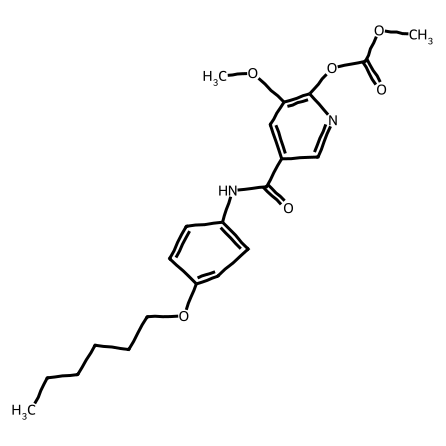 CCCCCCOc1ccc(NC(=O)c2cnc(OC(=O)OC)c(OC)c2)cc1